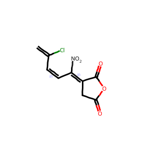 C=C(Cl)/C=C\C(=C1/CC(=O)OC1=O)[N+](=O)[O-]